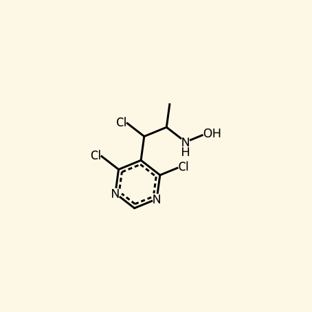 CC(NO)C(Cl)c1c(Cl)ncnc1Cl